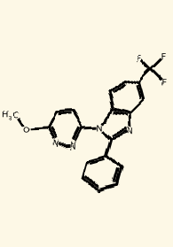 COc1ccc(-n2c(-c3ccccc3)nc3cc(C(F)(F)F)ccc32)nn1